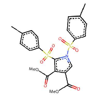 COC(=O)c1cn(S(=O)(=O)c2ccc(C)cc2)c(S(=O)(=O)c2ccc(C)cc2)c1C(=O)OC